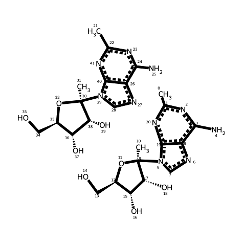 Cc1nc(N)c2ncn([C@]3(C)O[C@H](CO)[C@@H](O)[C@H]3O)c2n1.Cc1nc(N)c2ncn([C@]3(C)O[C@H](CO)[C@@H](O)[C@H]3O)c2n1